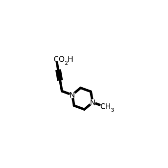 CN1CCN(CC#CC(=O)O)CC1